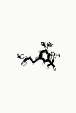 COC(=O)CCc1cc([N+](=O)[O-])c(O)c(C(C)(C)C)c1